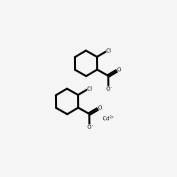 O=C([O-])C1CCCCC1Cl.O=C([O-])C1CCCCC1Cl.[Cd+2]